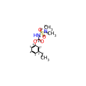 CCc1cccc(OC(=O)NS(=O)(=O)N(C)C)c1